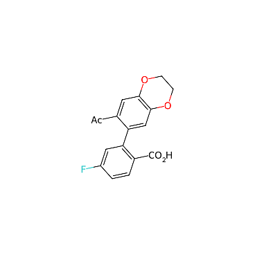 CC(=O)c1cc2c(cc1-c1cc(F)ccc1C(=O)O)OCCO2